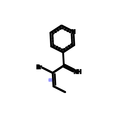 C/C=C(/Br)C(=N)c1cccnc1